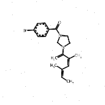 C=C(/C(C)=C\C(C)=C/C)N1CCN(C(=O)c2ccc(Br)cc2)C1